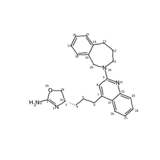 NC1=N[C@@H](CCCc2cc(N3CCCc4ccccc4C3)nc3ccccc23)CO1